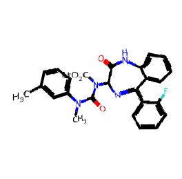 CCOC(=O)N(C(=O)N(C)c1cccc(C)c1)C1N=C(c2ccccc2F)c2ccccc2NC1=O